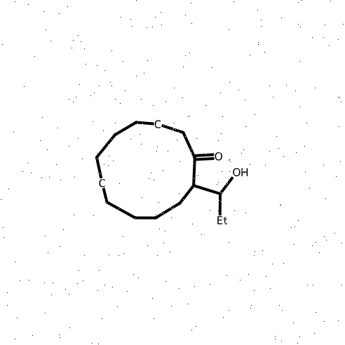 CCC(O)C1CCCCCCCCCCC1=O